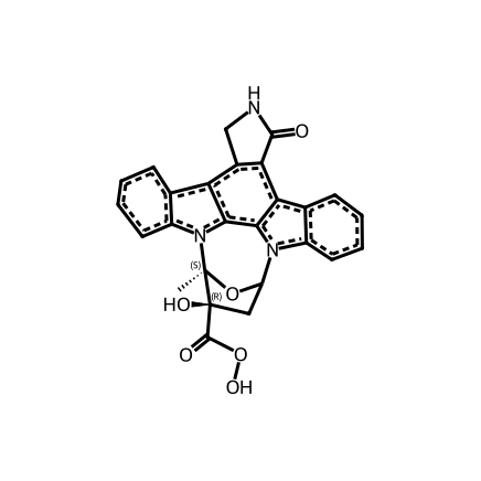 C[C@]12OC(C[C@]1(O)C(=O)OO)n1c3ccccc3c3c4c(c5c6ccccc6n2c5c31)CNC4=O